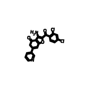 Nc1c(C(=O)c2ccc(Cl)cc2Cl)oc2c1C(=O)CC(c1cccnc1)=C2